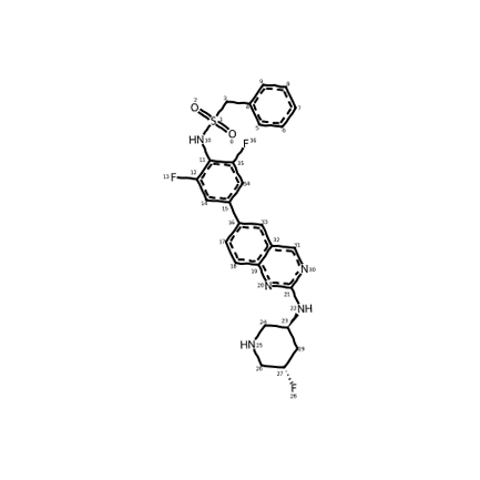 O=S(=O)(Cc1ccccc1)Nc1c(F)cc(-c2ccc3nc(N[C@@H]4CNC[C@@H](F)C4)ncc3c2)cc1F